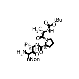 CCCCCCCCCC(N)C(=O)[C@@H](NC(=O)[C@@H]1CCCN1C(=O)[C@H](C)NC(=O)OC(C)(C)C)C(C)C